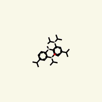 CC(C)c1ccc(P(C)c2ccc(C(C)C)cc2P(C(C)C)C(C)C)c(P(C(C)C)C(C)C)c1